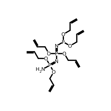 C=CCOP(N=P(N=P(N)(OCC=C)OCC=C)(OCC=C)OCC=C)OCC=C